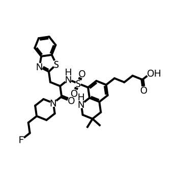 CC1(C)CNc2c(cc(CCCC(=O)O)cc2S(=O)(=O)NC(Cc2nc3ccccc3s2)C(=O)N2CCC(CCF)CC2)C1